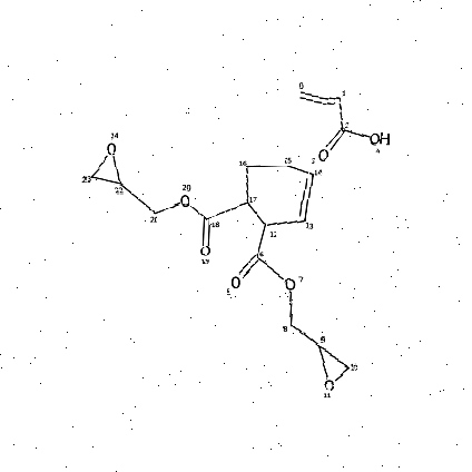 C=CC(=O)O.O=C(OCC1CO1)C1C=CCCC1C(=O)OCC1CO1